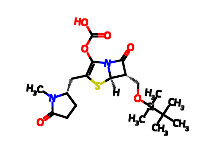 CN1C(=O)CC[C@H]1CC1=C(OC(=O)O)N2C(=O)[C@H](CO[Si](C)(C)C(C)(C)C)[C@H]2S1